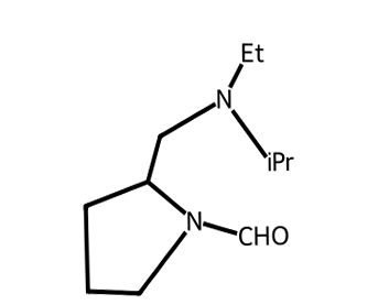 CCN(CC1CCCN1C=O)C(C)C